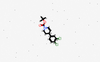 CC(C)(C)OC(=O)N1C=CC(c2ccc(Cl)c(Cl)c2)CC1